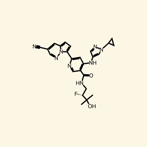 CC(C)(O)[C@H](F)CNC(=O)c1cnc(-c2ccc3cc(C#N)cnn23)cc1Nc1cnn(C2CC2)c1